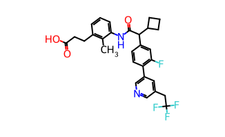 Cc1c(CCC(=O)O)cccc1NC(=O)C(c1ccc(-c2cncc(CC(F)(F)F)c2)c(F)c1)C1CCC1